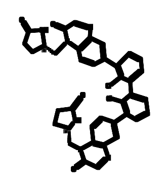 O=C1CC[C@@H](Cn2c(=O)cnc3cc(-c4cccc(-c5cccc(-c6ccc7c(c6)ncc(=O)n7C[C@@H]6CCC(=O)N6)c5Cl)c4Cl)ccc32)N1